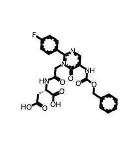 O=C(O)C[C@H](NC(=O)Cn1c(-c2ccc(F)cc2)ncc(NC(=O)OCc2ccccc2)c1=O)C(=O)O